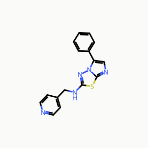 c1ccc(-c2cnc3sc(NCc4ccncc4)nn23)cc1